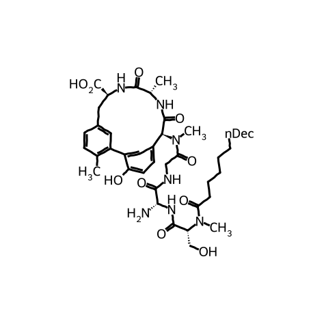 CCCCCCCCCCCCCCCC(=O)N(C)[C@H](CO)C(=O)N[C@H](N)C(=O)NCC(=O)N(C)[C@@H]1C(=O)N[C@@H](C)C(=O)N[C@H](C(=O)O)Cc2ccc(C)c(c2)-c2cc1ccc2O